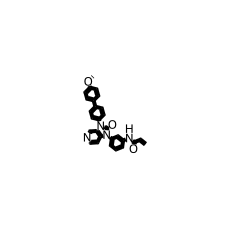 C=CC(=O)Nc1cccc(-n2c(=O)n(-c3ccc(-c4ccc(OC)cc4)cc3)c3cnccc32)c1